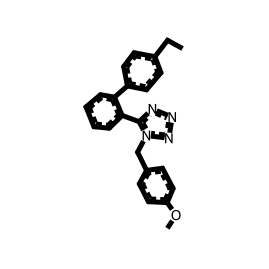 CCc1ccc(-c2ccccc2-c2nnnn2Cc2ccc(OC)cc2)cc1